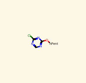 CCCCCOc1n[c]nc(Cl)n1